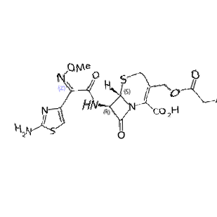 CO/N=C(\C(=O)N[C@@H]1C(=O)N2C(C(=O)O)=C(COC(=O)CC(C)=O)CS[C@@H]12)c1csc(N)n1